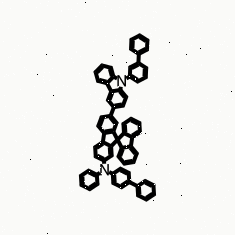 c1ccc(-c2ccc(N(c3ccccc3)c3ccc4c(c3)C3(c5ccccc5-c5ccccc53)c3cc(-c5ccc6c(c5)c5ccccc5n6-c5cccc(-c6ccccc6)c5)ccc3-4)cc2)cc1